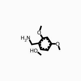 CO.COc1ccc(CN)c(OC)c1